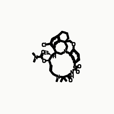 CC[C@@H]1[C@@H]2CN3C[C@@]4(CCCc5cc(Cl)c2cc54)COc2ccc(cc23)S(=O)(=O)NC(=O)C(C)(C)N(C)C/C=C/[C@H]1OC(=O)N(C)C